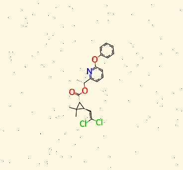 C[C@@H](OC(=O)[C@@H]1[C@@H](C=C(Cl)Cl)C1(C)C)c1cccc(Oc2ccccc2)n1